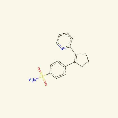 NS(=O)(=O)c1ccc(C2=C(c3ccccn3)CCC2)cc1